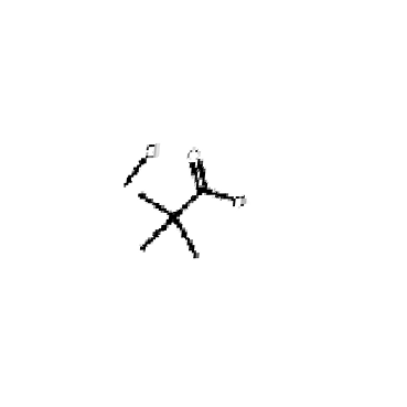 CC(C)(C)C([O])=O.CCl